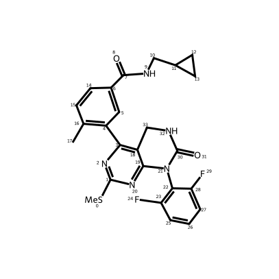 CSc1nc(-c2cc(C(=O)NCC3CC3)ccc2C)c2c(n1)N(c1c(F)cccc1F)C(=O)NC2